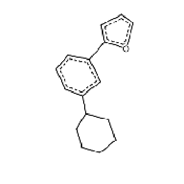 c1cc(-c2ccco2)cc(C2CCCCC2)c1